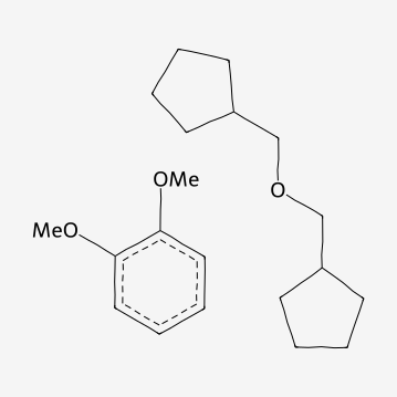 C1CCC(COCC2CCCC2)C1.COc1ccccc1OC